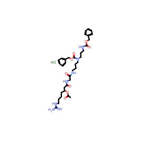 CC(=O)OC(CCCCNC(=N)N)CC(=O)NCC(=O)NCCCCN(CCCNC(=O)OCc1ccccc1)C(=O)OCc1ccccc1.Cl